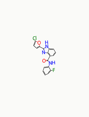 O=C(Nc1ccccc1F)c1cccc2[nH]c(-c3ccc(Cl)o3)nc12